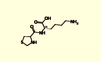 NCCCC[C@H](NC(=O)C1CSCN1)C(=O)O